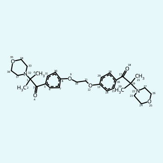 CC(C)(C(=O)c1ccc(OCCOc2ccc(C(=O)C(C)(C)N3CCOCC3)cc2)cc1)N1CCOCC1